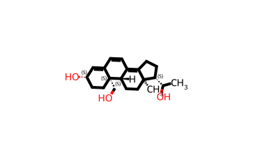 CC(O)[C@H]1CCC2=C3C=CC4=C[C@@H](O)CC[C@]4(CO)[C@H]3CC[C@@]21C